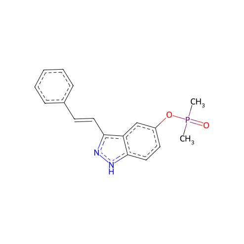 CP(C)(=O)Oc1ccc2[nH]nc(/C=C/c3ccccc3)c2c1